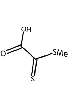 CSC(=S)C(=O)O